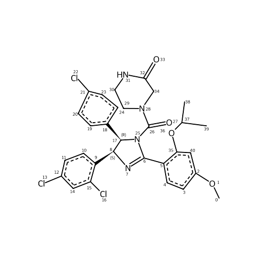 COc1ccc(C2=N[C@@H](c3ccc(Cl)cc3Cl)[C@@H](c3ccc(Cl)cc3)N2C(=O)N2CCNC(=O)C2)c(OC(C)C)c1